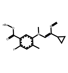 C=N/C(=C\N(C)c1cc(C(=O)OCCCC)c(F)cc1C)C1CC1